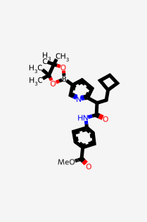 COC(=O)c1ccc(NC(=O)C(CC2CCC2)c2ccc(B3OC(C)(C)C(C)(C)O3)cn2)cc1